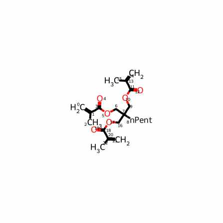 C=C(C)C(=O)OCC(CCCCC)(COC(=O)C(=C)C)COC(=O)C(=C)C